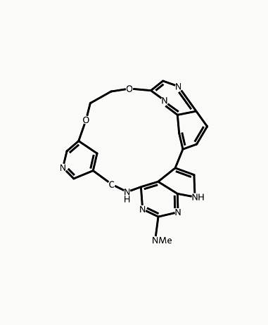 CNc1nc2c3c(c[nH]c3n1)-c1ccc3ncc(nc3c1)OCCOc1cncc(c1)CN2